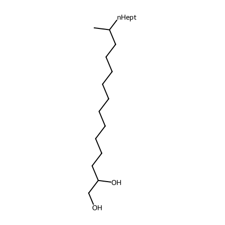 CCCCCCCC(C)CCCCCCCCCCC(O)CO